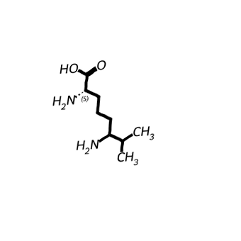 CC(C)C(N)CCC[C@H](N)C(=O)O